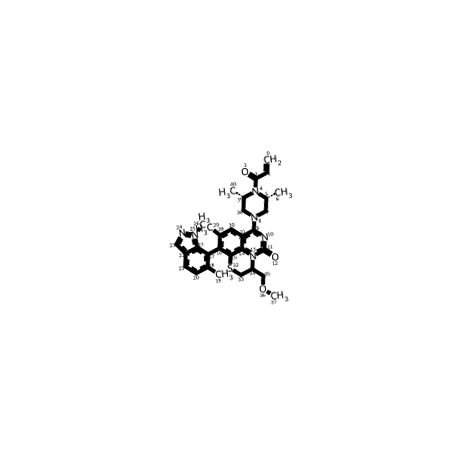 C=CC(=O)N1[C@H](C)CN(c2nc(=O)n3c4c(c(-c5c(C)ccc6cnn(C)c56)c(C)cc24)SCC3COC)C[C@@H]1C